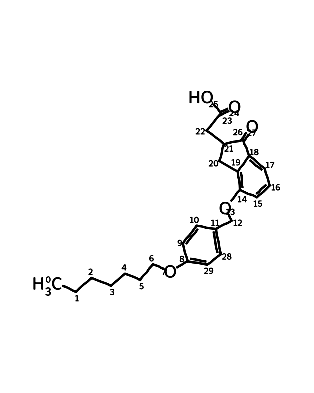 CCCCCCCOc1ccc(COc2cccc3c2CC(CC(=O)O)C3=O)cc1